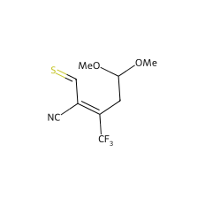 COC(CC(=C(C#N)C=S)C(F)(F)F)OC